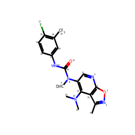 Cc1noc2ncc(N(C=O)C(=O)Nc3ccc(F)c(C(F)(F)F)c3)c(N(C)C)c12